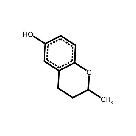 CC1CCc2cc(O)ccc2O1